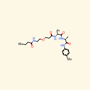 CC(C)[C@H](NC(=O)CCOCCNC(=O)CCC(C)(C)C)C(=O)N[C@@H](C)C(=O)Nc1ccc(C(C)(C)C)cc1